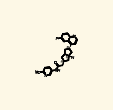 N#Cc1ccc(NC(=O)C[C@H]2CC3C[C@H](c4ccnc5ccc(F)cc45)C[C@@H]3C2)cn1